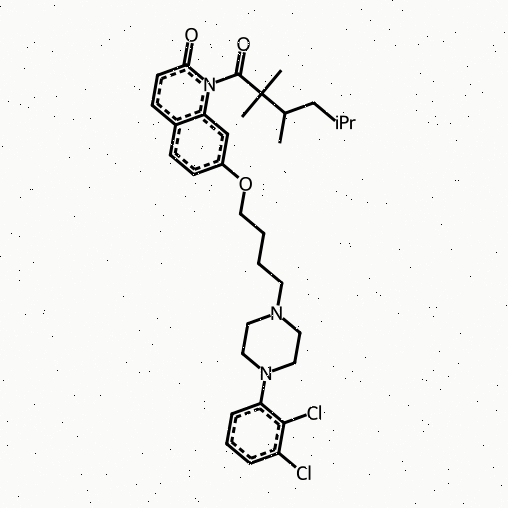 CC(C)CC(C)C(C)(C)C(=O)n1c(=O)ccc2ccc(OCCCCN3CCN(c4cccc(Cl)c4Cl)CC3)cc21